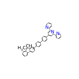 CC1(C)c2ccccc2-c2ccc(-c3ccc(-c4ccc(-c5cc(-c6ccccn6)nc(-c6ccccn6)c5)cc4)cc3)cc21